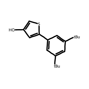 CC(C)(C)c1cc(-c2cc(O)cs2)cc(C(C)(C)C)c1